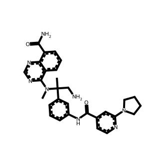 CN(c1ncnc2c(C(N)=O)cccc12)C(C)(CN)c1cccc(NC(=O)c2ccnc(N3CCCC3)c2)c1